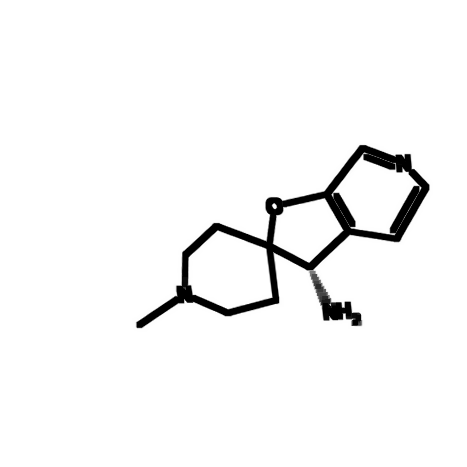 CN1CCC2(CC1)Oc1cnccc1[C@@H]2N